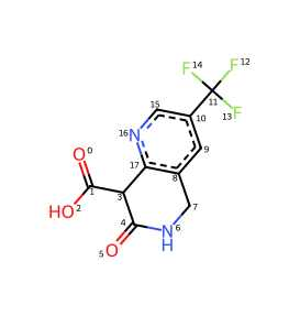 O=C(O)C1C(=O)NCc2cc(C(F)(F)F)cnc21